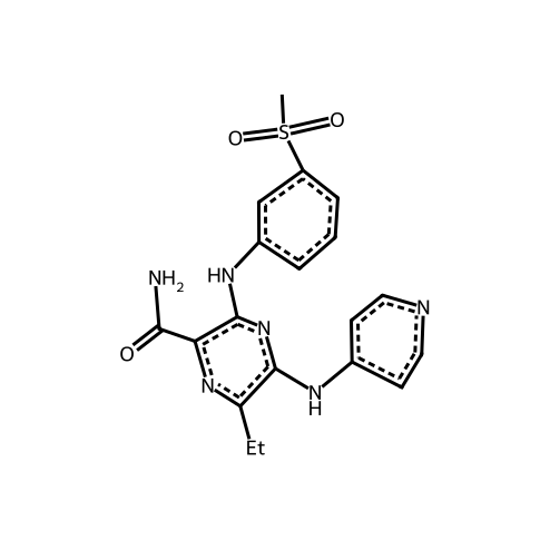 CCc1nc(C(N)=O)c(Nc2cccc(S(C)(=O)=O)c2)nc1Nc1ccncc1